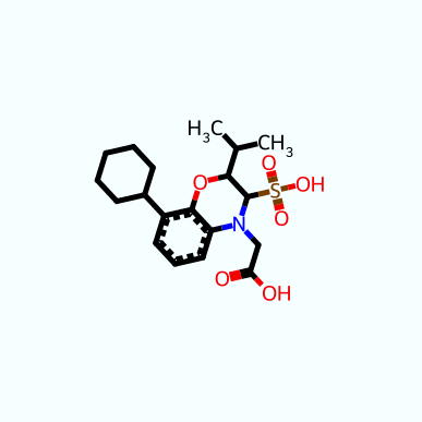 CC(C)C1Oc2c(C3CCCCC3)cccc2N(CC(=O)O)C1S(=O)(=O)O